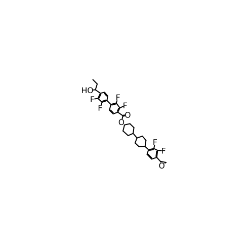 CCC(O)c1ccc(-c2ccc(C(=O)OC3CCC(C4CCC(c5ccc(C6CO6)c(F)c5F)CC4)CC3)c(F)c2F)c(F)c1F